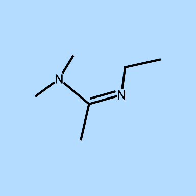 CC/N=C(/C)N(C)C